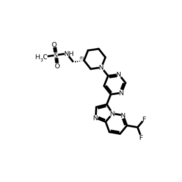 CS(=O)(=O)NC[C@@H]1CCCN(c2cc(-c3cnc4ccc(C(F)F)nn34)ncn2)C1